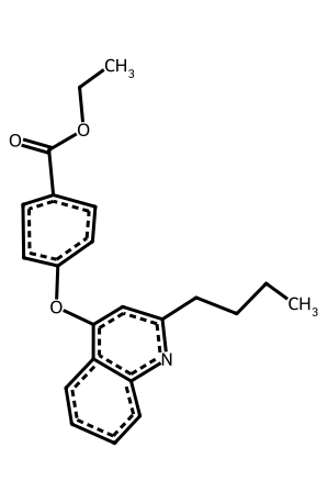 CCCCc1cc(Oc2ccc(C(=O)OCC)cc2)c2ccccc2n1